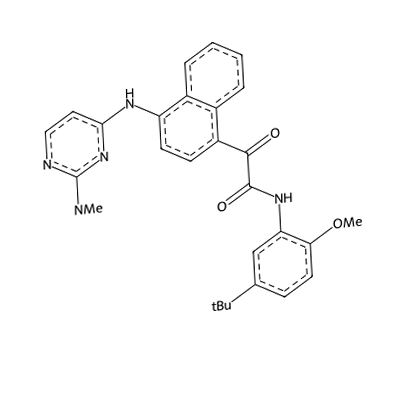 CNc1nccc(Nc2ccc(C(=O)C(=O)Nc3cc(C(C)(C)C)ccc3OC)c3ccccc23)n1